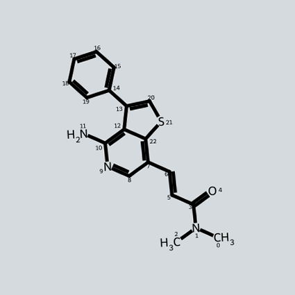 CN(C)C(=O)C=Cc1cnc(N)c2c(-c3ccccc3)csc12